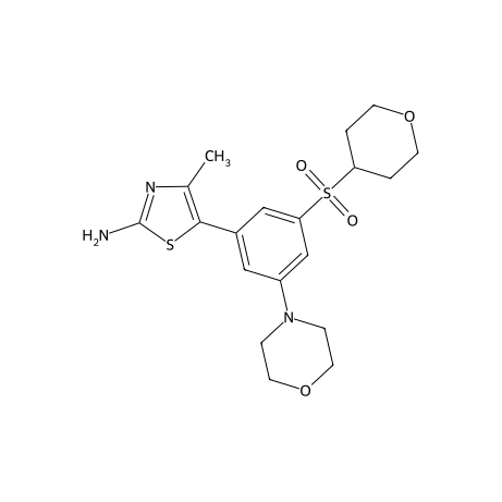 Cc1nc(N)sc1-c1cc(N2CCOCC2)cc(S(=O)(=O)C2CCOCC2)c1